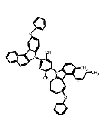 C=C/C=C\c1c(C)ccc2c1c1c(n2-c2cc(C#N)c(-n3c4ccc(Oc5ccccc5)cc4c4c5ccccc5ccc43)cc2C#N)CC=CC(Oc2ccccc2)=C1